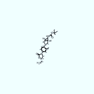 CC(C)(C)OC(=O)NC1[C@H]2CN(c3ccc(N4C[C@H](CN)OC4=O)cc3F)C[C@@H]12